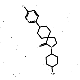 O=C1N(C2CCC(O)CC2)CCC12CCC(c1ccc(Cl)cc1)CC2